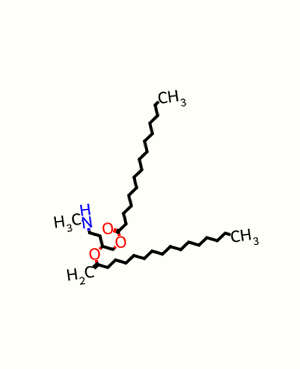 C=C(CCCCCCCCCCCCCCC)OC(CCNC)COC(=O)CCCCCCCCCCCCCCC